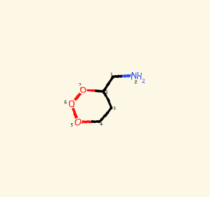 NCC1CCOOO1